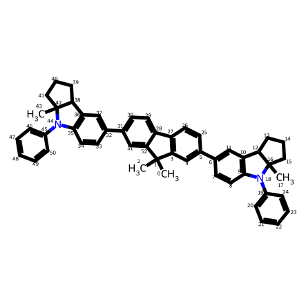 CC1(C)c2cc(-c3ccc4c(c3)C3CCCC3(C)N4c3ccccc3)ccc2-c2ccc(-c3ccc4c(c3)C3CCCC3(C)N4c3ccccc3)cc21